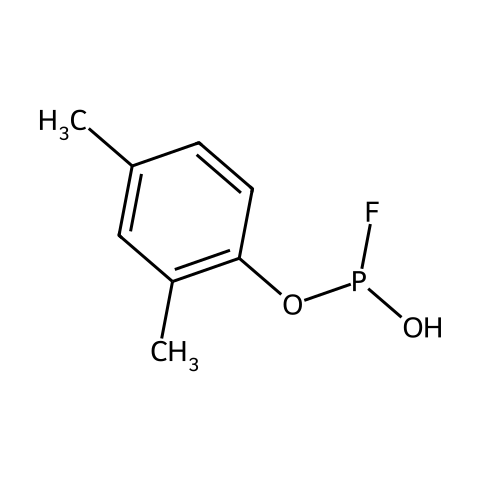 Cc1ccc(OP(O)F)c(C)c1